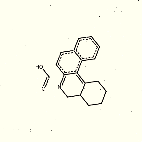 O=CO.c1ccc2c3c(ccc2c1)=NCC1CCCCC=31